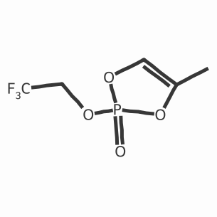 CC1=COP(=O)(OCC(F)(F)F)O1